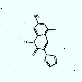 CCn1c(=O)c(-n2cccn2)cc2c(C)nc(N)nc21